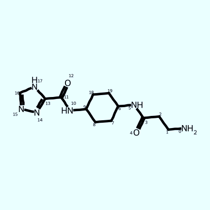 NCCC(=O)NC1CCC(NC(=O)c2nnc[nH]2)CC1